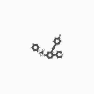 O=C(Nc1ccc(-c2ccncc2)c(C#Cc2ccc(F)cc2)c1)Oc1ccccc1